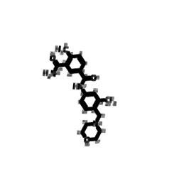 Cc1ccc(C(=O)Nc2ccc(CN3CCOCC3)c(C(F)(F)F)c2)cc1C(N)=O